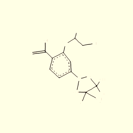 CCC(C)Oc1cc(B2OC(C)(C)C(C)(C)O2)ccc1C(=O)O